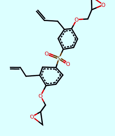 C=CCc1cc(S(=O)(=O)c2ccc(OCC3CO3)c(CC=C)c2)ccc1OCC1CO1